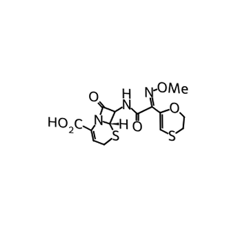 CON=C(C(=O)NC1C(=O)N2C(C(=O)O)=CCS[C@@H]12)C1=CSCCO1